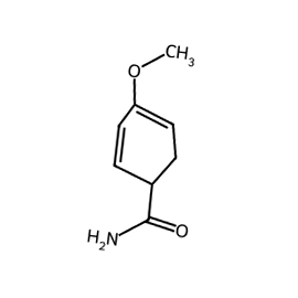 COC1=CCC(C(N)=O)C=C1